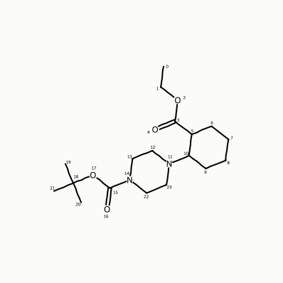 CCOC(=O)C1CCCCC1N1CCN(C(=O)OC(C)(C)C)CC1